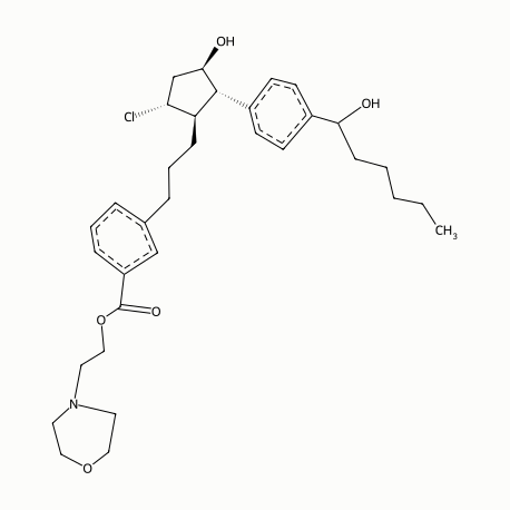 CCCCCC(O)c1ccc([C@@H]2[C@@H](CCCc3cccc(C(=O)OCCN4CCOCC4)c3)[C@H](Cl)C[C@H]2O)cc1